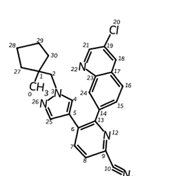 CC1(Cn2cc(-c3ccc(C#N)nc3-c3ccc4cc(Cl)cnc4c3)cn2)CCCC1